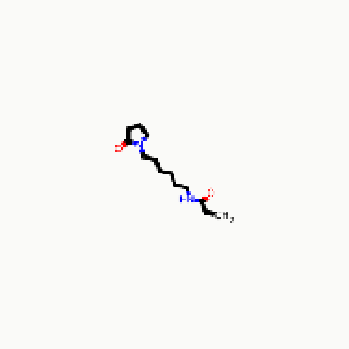 C=CC(=O)NCCCCCCN1CCCC1=O